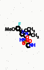 COc1cc(F)cc(-c2ccc(C(=O)NS(=O)(=O)c3ccc[nH]c3=O)c(N3C[C@@H](C)CC3(C)C)n2)c1